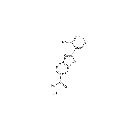 O=C(NO)c1ccc2oc(-c3ccccc3O)nc2c1